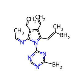 B/C(C)=C/c1c(C=C)c(C=C)c(/N=C\C)n1-c1ncnc(B)n1